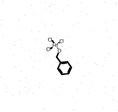 [Cl][Hf]([Cl])([Cl])[O]Cc1ccccc1